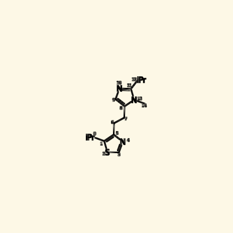 CC(C)c1scnc1CCc1cnc(C(C)C)n1C